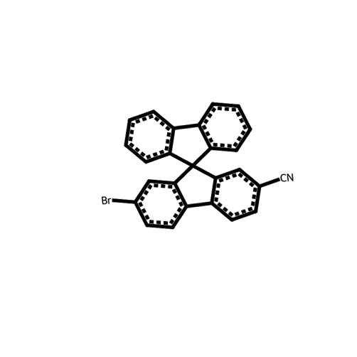 N#Cc1ccc2c(c1)C1(c3ccccc3-c3ccccc31)c1cc(Br)ccc1-2